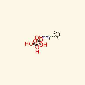 CC1=C(CC/C(C)=C/C=C/C(C)O[C@H]2C(O)O[C@H](CO)[C@@H](O)[C@@H]2O)C(C)(C)CCC1